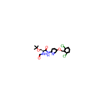 CC(C)(C)OC[C@H](NC=O)C(=O)Nc1ccc(OCc2c(Cl)cccc2Cl)cn1